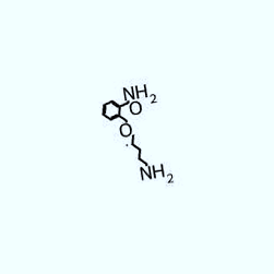 NCCC[CH]COCc1ccccc1C(N)=O